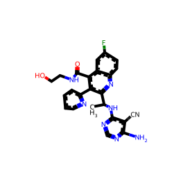 CC(Nc1ncnc(N)c1C#N)c1nc2ccc(F)cc2c(C(=O)NCCO)c1-c1ccccn1